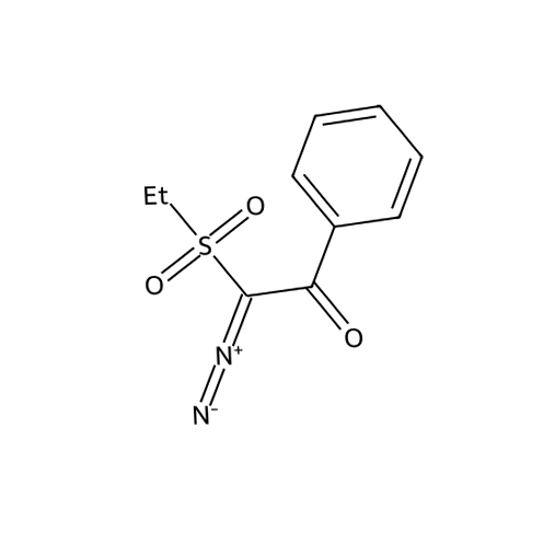 CCS(=O)(=O)C(=[N+]=[N-])C(=O)c1ccccc1